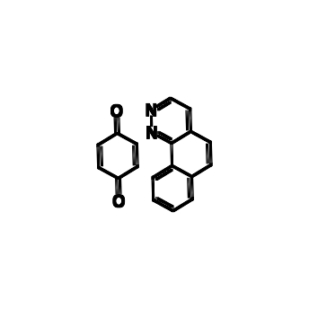 O=C1C=CC(=O)C=C1.c1ccc2c(c1)ccc1ccnnc12